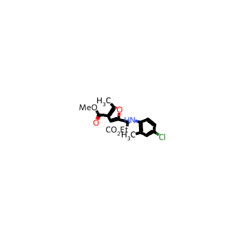 CCOC(=O)C(Nc1ccc(Cl)cc1C)c1cc(C(=O)OC)c(C)o1